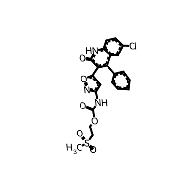 CS(=O)(=O)CCOC(=O)Nc1cc(-c2c(-c3ccccc3)c3cc(Cl)ccc3[nH]c2=O)on1